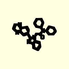 O=C(Cn1c(-c2ccc3nccnc3c2)nc2ccccc21)N(C1CCCCC1)C1CCCCC1